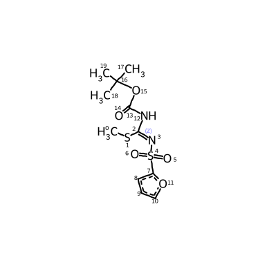 CS/C(=N\S(=O)(=O)c1ccco1)NC(=O)OC(C)(C)C